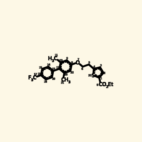 CCOC(=O)c1ccc(CCOc2cc(C)c(-c3ccc(C(F)(F)F)cc3)c(C)c2)s1